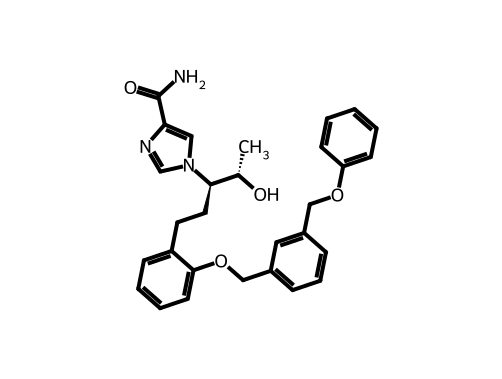 C[C@H](O)[C@@H](CCc1ccccc1OCc1cccc(COc2ccccc2)c1)n1cnc(C(N)=O)c1